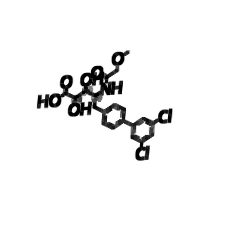 COCC(=O)N[C@@H](Cc1ccc(-c2cc(Cl)cc(Cl)c2)cc1)[C@H](O)[C@@H](O)C(=O)O